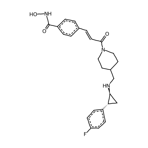 O=C(NO)c1ccc(/C=C/C(=O)N2CCC(CN[C@H]3C[C@@H]3c3ccc(F)cc3)CC2)cc1